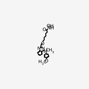 COc1ccc(N(C)c2nc(COCCCCCCC(=O)NO)nc3ccccc23)cc1